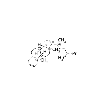 CC(C)C(C)CC[C@@H](C)[C@H]1CC[C@H]2[C@@H]3CCC4CC=CC[C@]4(C)[C@H]3CC[C@]12C